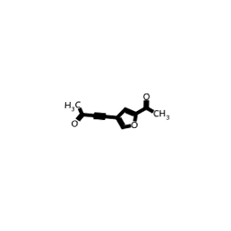 CC(=O)C#Cc1coc(C(C)=O)c1